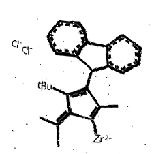 CC(C)=C1[C]([Zr+2])=C(C)C(C2c3ccccc3-c3ccccc32)=C1C(C)(C)C.[Cl-].[Cl-]